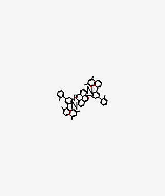 Cc1ccc(N(c2c(F)cc(-c3ccccc3C)cc2-c2ccccc2C)c2ccc3ccc4c(N(c5ccc(C)cc5C)c5c(F)cc(-c6ccccc6C)cc5-c5ccccc5C)ccc5ccc2c3c54)c(C)c1